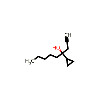 C#CCC(O)(CCCCC)C1CC1